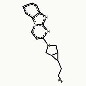 [18F]CCC1C2CN(c3ccn4c(n3)nc3ccccc34)CC12